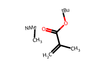 C=C(C)C(=O)OC(C)(C)C.CNC